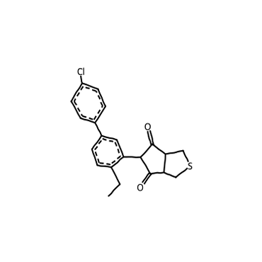 CCc1ccc(-c2ccc(Cl)cc2)cc1C1C(=O)C2CSCC2C1=O